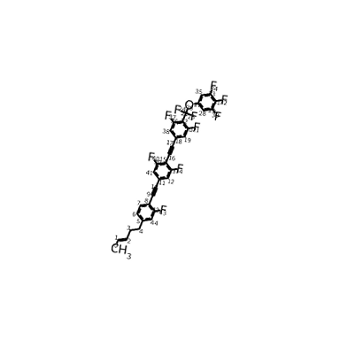 C/C=C/CCc1ccc(C#Cc2cc(F)c(C#Cc3cc(F)c(C(F)(F)Oc4cc(F)c(F)c(F)c4)c(F)c3)c(F)c2)c(F)c1